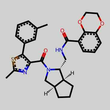 Cc1cccc(-c2sc(C)nc2C(=O)N2C[C@@H]3CCC[C@@H]3[C@H]2CNC(=O)c2cccc3c2OCCO3)c1